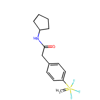 C=S(F)(F)(F)c1ccc(CC(=O)NC2CCCC2)cc1